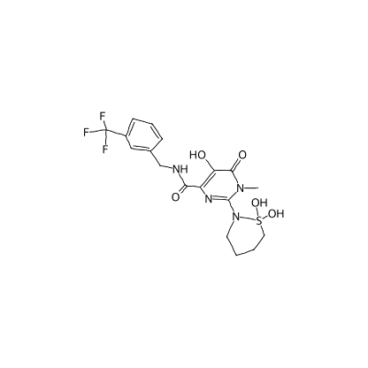 Cn1c(N2CCCCS2(O)O)nc(C(=O)NCc2cccc(C(F)(F)F)c2)c(O)c1=O